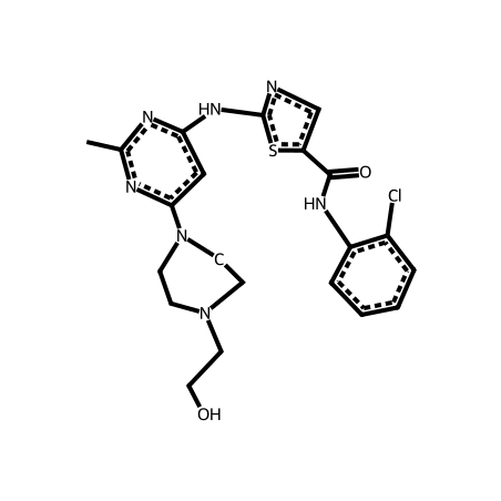 Cc1nc(Nc2ncc(C(=O)Nc3ccccc3Cl)s2)cc(N2CCN(CCO)CC2)n1